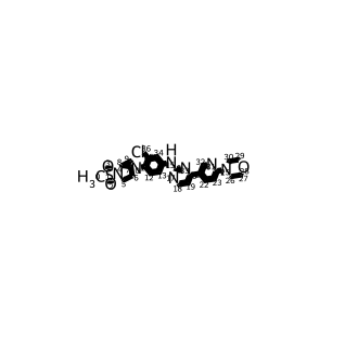 CS(=O)(=O)N1CC2CC1CN2c1ccc(Nc2nccc(-c3ccc(N4CCOCC4)nc3)n2)cc1Cl